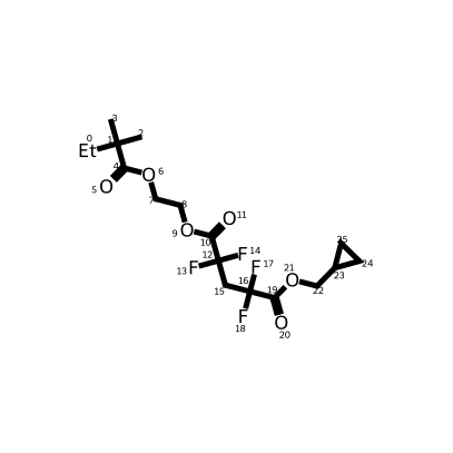 CCC(C)(C)C(=O)OCCOC(=O)C(F)(F)CC(F)(F)C(=O)OCC1CC1